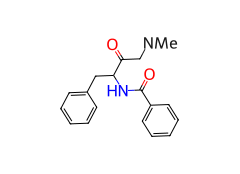 CNCC(=O)C(Cc1ccccc1)NC(=O)c1ccccc1